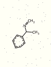 C=NC(C)c1ccccc1